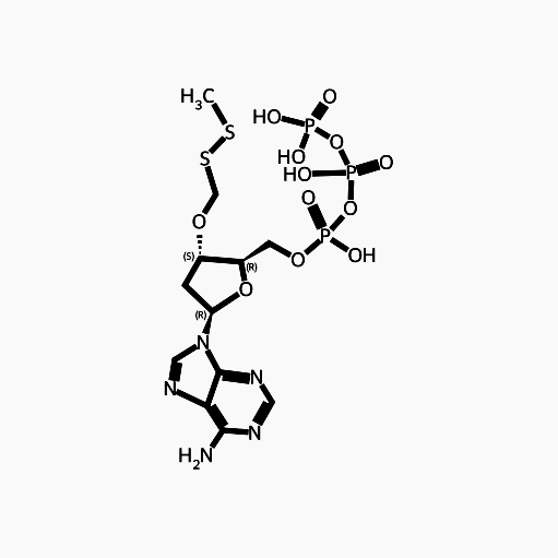 CSSCO[C@H]1C[C@H](n2cnc3c(N)ncnc32)O[C@@H]1COP(=O)(O)OP(=O)(O)OP(=O)(O)O